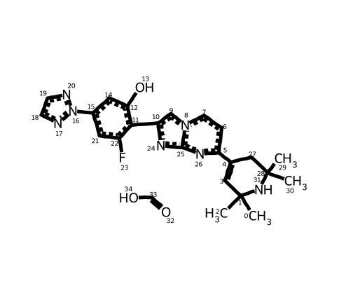 CC1(C)C=C(c2ccn3cc(-c4c(O)cc(-n5nccn5)cc4F)nc3n2)CC(C)(C)N1.O=CO